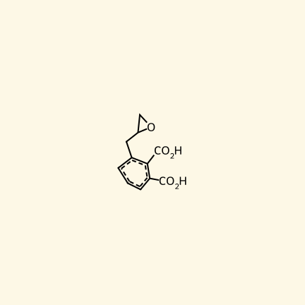 O=C(O)c1cccc(CC2CO2)c1C(=O)O